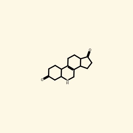 O=C1CCC2C3=C(CNC2C1)C1CCC(=O)C1CC3